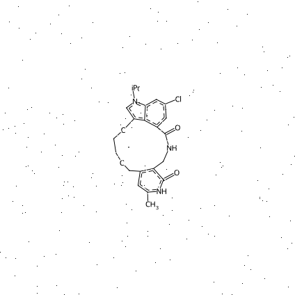 Cc1cc2c(c(=O)[nH]1)CNC(=O)c1cc(Cl)cc3c1c(cn3C(C)C)CCCCC2